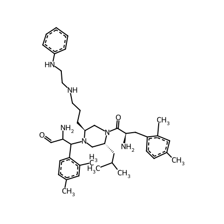 Cc1ccc(C[C@@H](N)C(=O)N2C[C@H](CCCNCCNc3ccccc3)N(C(c3ccc(C)cc3C)C(N)C=O)C[C@H]2CC(C)C)c(C)c1